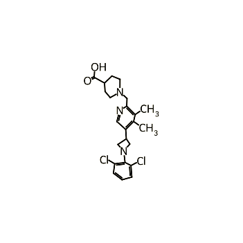 Cc1c(C2CN(c3c(Cl)cccc3Cl)C2)cnc(CN2CCC(C(=O)O)CC2)c1C